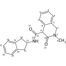 CN1Cc2ccccc2C(C(=O)NC2Cc3ccccc3C2)C1=O